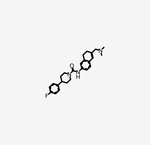 CN(C)CC1=Cc2ccc(NC(=O)N3CCC(c4ccc(F)cc4)CC3)cc2CC1